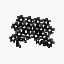 CC1(C)c2ccccc2-c2ccc(N3c4ccccc4B4c5cc6c(cc5N(c5ccccc5)c5cc(N(c7ccccc7)c7ccccc7)cc3c54)N(c3ccccc3)c3cc(N(c4ccccc4)c4ccccc4)cc4c3B6c3ccccc3N4c3ccc4c(c3)C(C)(C)c3ccccc3-4)cc21